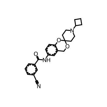 N#Cc1cccc(C(=O)Nc2ccc3c(c2)COC2(CCN(C4CCC4)CC2)O3)c1